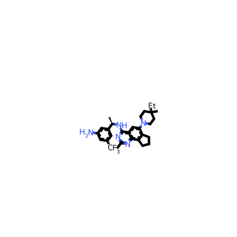 CCC1(C)CCN(c2cc3c(N[C@H](C)c4cc(N)cc(C(F)(F)F)c4)nc(C)nc3c3c2CCC3)CC1